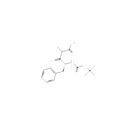 CC(C(=O)O)C(=O)[C@H](Cc1ccccc1)NC(=O)OC(C)(C)C